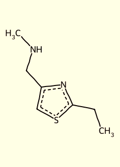 CCc1nc(CNC)cs1